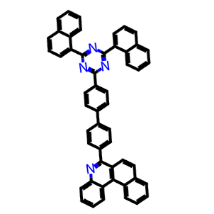 c1ccc2c(-c3nc(-c4ccc(-c5ccc(-c6nc7ccccc7c7c6ccc6ccccc67)cc5)cc4)nc(-c4cccc5ccccc45)n3)cccc2c1